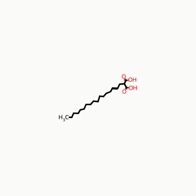 CCCCCCCCCCCCCC/C=C/CC(C(=O)O)C(=O)O